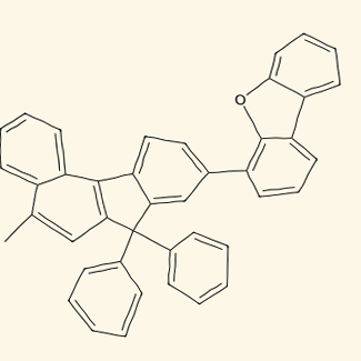 Cc1cc2c(c3ccccc13)-c1ccc(-c3cccc4c3oc3ccccc34)cc1C2(c1ccccc1)c1ccccc1